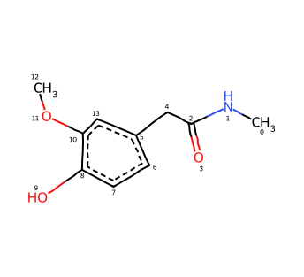 CNC(=O)Cc1ccc(O)c(OC)c1